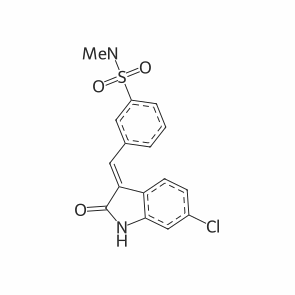 CNS(=O)(=O)c1cccc(/C=C2/C(=O)Nc3cc(Cl)ccc32)c1